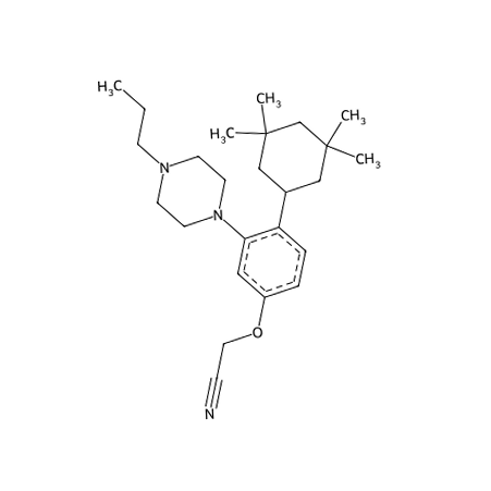 CCCN1CCN(c2cc(OCC#N)ccc2C2CC(C)(C)CC(C)(C)C2)CC1